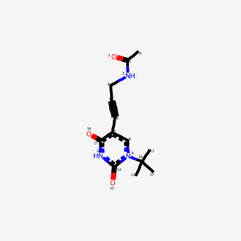 CC(=O)NCC#Cc1cn(C(C)(C)C)c(=O)[nH]c1=O